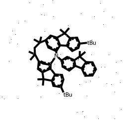 CC(C)(C)c1ccc2c(c1)C(C)(C)c1cc3cc(c1-2)N(c1ccc2c(c1)C(C)(C)c1ccccc1-2)c1cc(cc2c1-c1ccc(C(C)(C)C)cc1C2(C)C)C(C)(C)CC3(C)C